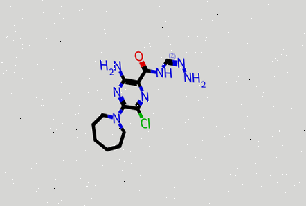 N/N=C\NC(=O)c1nc(Cl)c(N2CCCCCC2)nc1N